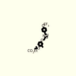 CCOC(=O)C(C)(C)Oc1ccc(OCc2nc(-c3ccc(OC(F)(F)F)cc3)ns2)cc1C